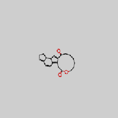 O=C1CC2=C3C=CC4=CCCC4C3C=C2C(=O)CCCCCCO1